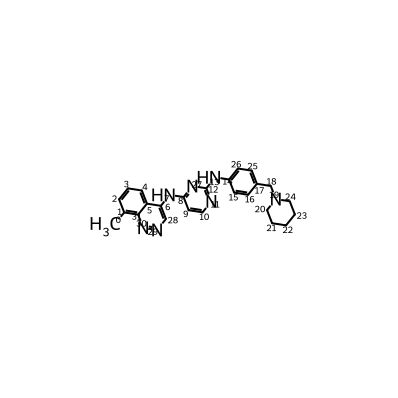 Cc1cccc2c(Nc3ccnc(Nc4ccc(CN5CCCCC5)cc4)n3)cnnc12